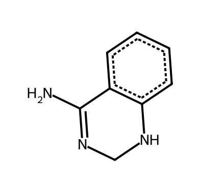 NC1=NCNc2ccccc21